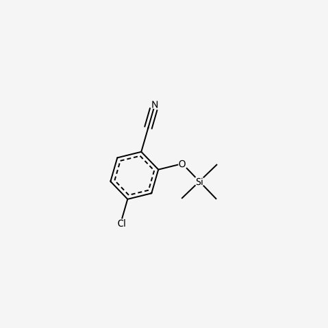 C[Si](C)(C)Oc1cc(Cl)ccc1C#N